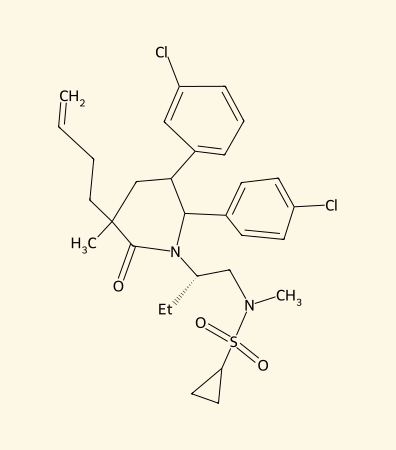 C=CCCC1(C)CC(c2cccc(Cl)c2)C(c2ccc(Cl)cc2)N([C@@H](CC)CN(C)S(=O)(=O)C2CC2)C1=O